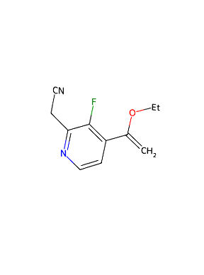 C=C(OCC)c1ccnc(CC#N)c1F